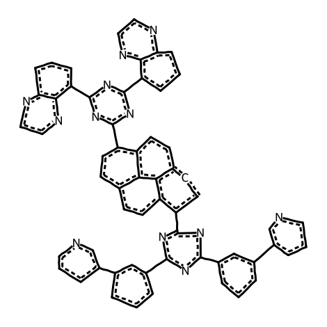 c1cncc(-c2cccc(-c3nc(-c4cccc(-c5cccnc5)c4)nc(-c4ccc5ccc6c(-c7nc(-c8cccc9nccnc89)nc(-c8cccc9nccnc89)n7)ccc7ccc4c5c76)n3)c2)c1